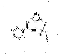 O=C(NC(n1cncn1)C(Cl)(Cl)CCl)c1ccccc1